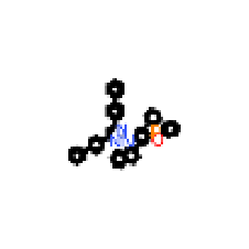 O=P1(c2ccccc2)c2ccccc2-c2cc3c(cc21)c1ccc2ccccc2c1n3-c1nc(-c2ccc(-c3ccccc3)cc2)cc(-c2ccc(-c3ccccc3)cc2)n1